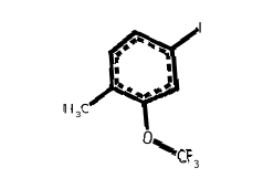 Cc1ccc(I)cc1OC(F)(F)F